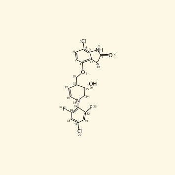 O=c1[nH]c2c(Cl)ccc(OCC3C=CN(c4c(F)cc(Cl)cc4F)C[C@H]3O)c2s1